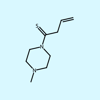 C=CCC(=S)N1CCN(C)CC1